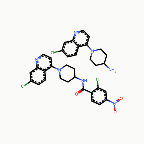 NC1CCN(c2ccnc3cc(Cl)ccc23)CC1.O=C(NC1CCN(c2ccnc3cc(Cl)ccc23)CC1)c1ccc([N+](=O)[O-])cc1Cl